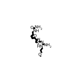 COCCCNC(N)=Nc1nc(-c2ccc(CNC(N)=O)o2)cs1